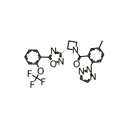 Cc1ccc(-n2nccn2)c(C(=O)N2CC[C@H]2c2noc(-c3ccccc3OC(F)(F)F)n2)c1